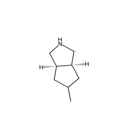 CC1C[C@H]2CN[CH][C@H]2C1